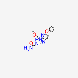 CCOCCn1c(CNCC(N)=O)nc2ccc(Oc3ccccc3)nc21